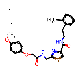 Cc1ccccc1CCNC(=O)c1csc(CNC(=O)COc2ccc(OC(F)(F)F)cc2)n1